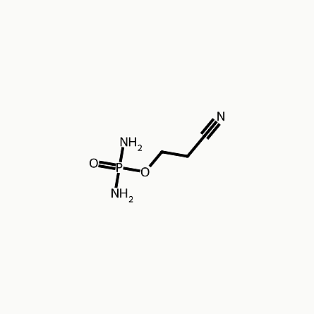 N#CCCOP(N)(N)=O